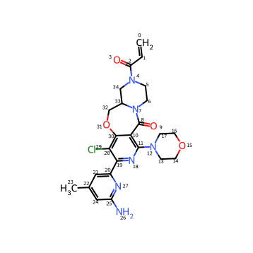 C=CC(=O)N1CCN2C(=O)c3c(N4CCOCC4)nc(-c4cc(C)cc(N)n4)c(Cl)c3OCC2C1